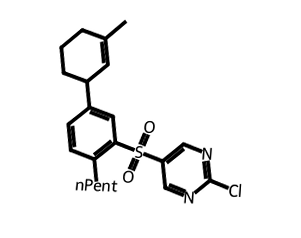 CCCCCc1ccc(C2C=C(C)CCC2)cc1S(=O)(=O)c1cnc(Cl)nc1